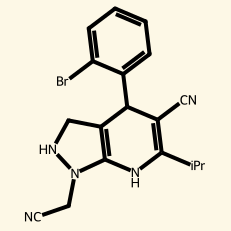 CC(C)C1=C(C#N)C(c2ccccc2Br)C2=C(N1)N(CC#N)NC2